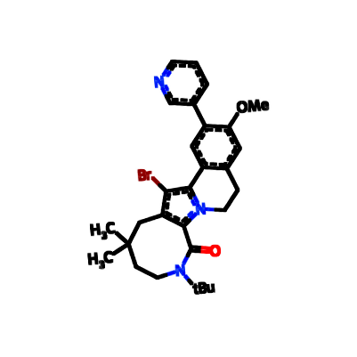 COc1cc2c(cc1-c1cccnc1)-c1c(Br)c3c(n1CC2)C(=O)N(C(C)(C)C)CCC(C)(C)C3